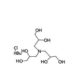 CCCCCl.OCC(O)CN(CC(O)CO)CC(O)CO